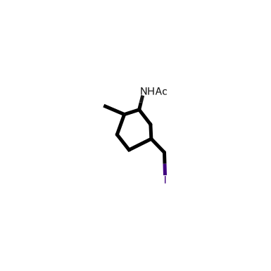 CC(=O)NC1CC(CI)CCC1C